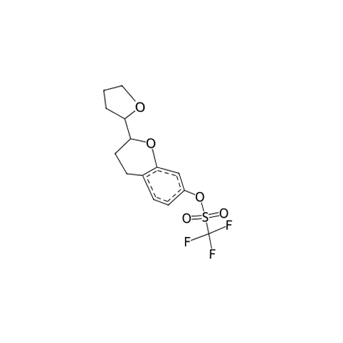 O=S(=O)(Oc1ccc2c(c1)OC(C1CCCO1)CC2)C(F)(F)F